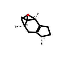 C[C@H]1CCC2=C1C[C@H]1CC[C@]2(C)C1(C)C